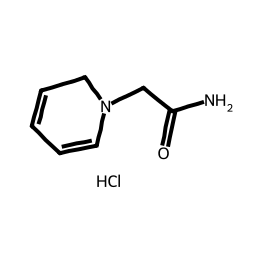 Cl.NC(=O)CN1C=CC=CC1